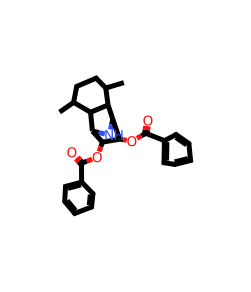 CC1CCC(C)C2C3NC(C(OC(=O)c4ccccc4)C3OC(=O)c3ccccc3)C12